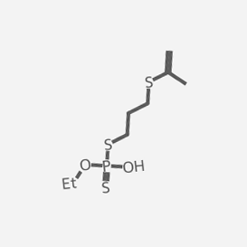 C=C(C)SCCCSP(O)(=S)OCC